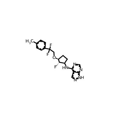 Cc1ccc(C(F)(F)CO[C@H]2CCC(Nc3ncnc4[nH]ncc34)[C@@H]2F)cc1